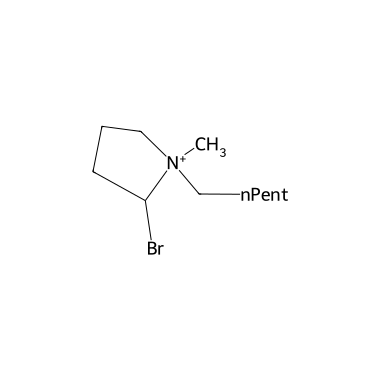 CCCCCC[N+]1(C)CCCC1Br